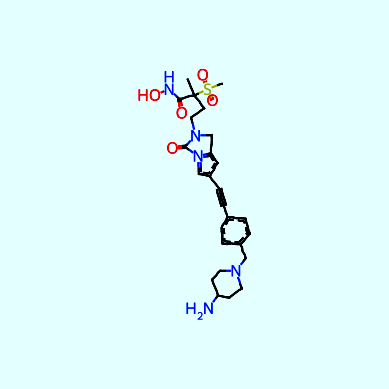 CC(CCN1Cc2cc(C#Cc3ccc(CN4CCC(N)CC4)cc3)cn2C1=O)(C(=O)NO)S(C)(=O)=O